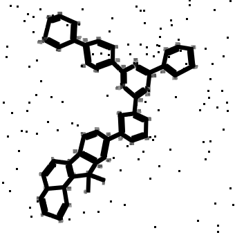 CC1(C)C2=C(C=CC3C=CC=CC23)c2ccc(-c3cccc(-c4nc(-c5ccccc5)nc(-c5ccc(-c6cccnc6)cc5)n4)c3)cc21